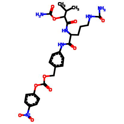 CC(C)C(OC(N)=O)C(=O)NC(CCCNC(N)=O)C(=O)Nc1ccc(COC(=O)Oc2ccc([N+](=O)[O-])cc2)cc1